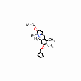 COCOc1ccc(Cc2c(C)cc(OCc3ccccc3)c(C)c2C)nc1C(C)C